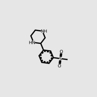 CS(=O)(=O)c1cccc(C2CNCCN2)c1